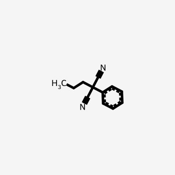 CCCC(C#N)(C#N)c1ccccc1